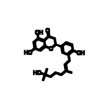 C/C(=C\Cc1cc([C@@H]2CC(=O)c3c(O)cc(O)cc3O2)ccc1O)CCCC(C)(C)O